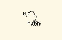 CC/C=C\C/C=C\C/C=C\C/C=C\C/C=C\CCCCSC(C)(C)C(=O)O